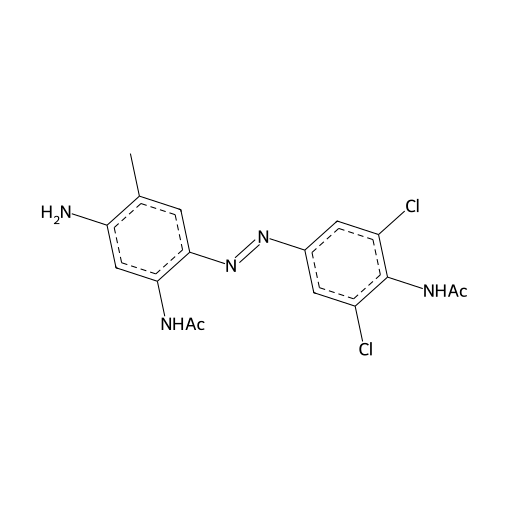 CC(=O)Nc1cc(N)c(C)cc1/N=N/c1cc(Cl)c(NC(C)=O)c(Cl)c1